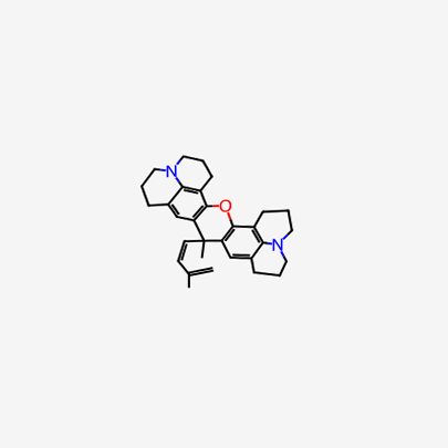 C=C(C)/C=C\C1(C)c2cc3c4c(c2Oc2c1cc1c5c2CCCN5CCC1)CCCN4CCC3